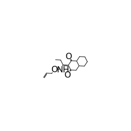 C=CCONC(CC)=C1C(=O)CC2CCCCC2C1=O